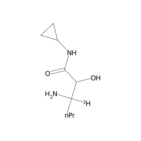 [2H]C(N)(CCC)C(O)C(=O)NC1CC1